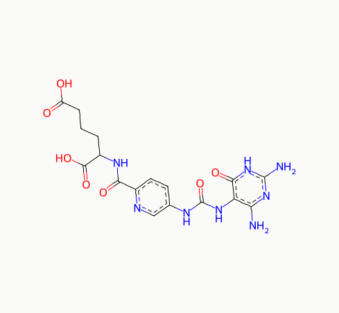 Nc1nc(N)c(NC(=O)Nc2ccc(C(=O)NC(CCCC(=O)O)C(=O)O)nc2)c(=O)[nH]1